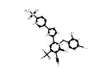 CS(=O)(=O)c1ccc(-c2ccc(-c3cc(C(F)(F)F)c(C#N)c(=O)n3Cc3ccc(F)cc3F)o2)cn1